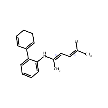 CC/C(C)=C\C=C(/C)Nc1ccccc1C1=CCCC=C1